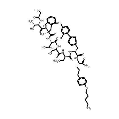 CCc1cc(OC)ccc1-c1ccc(C[C@H](NC(=O)C(CC(=O)O)NC(=O)C(CO)NC(=O)[C@@H](NC(=O)[C@](C)(Cc2ccccc2F)NC(=O)[C@@H](NC(=O)CN)[C@@H](C)O)[C@@H](C)O)C(=O)N[C@@H](CCCc2ccc(OCCCCN)cc2)C(N)=O)cc1